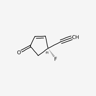 C#C[C@]1(F)C=CC(=O)C1